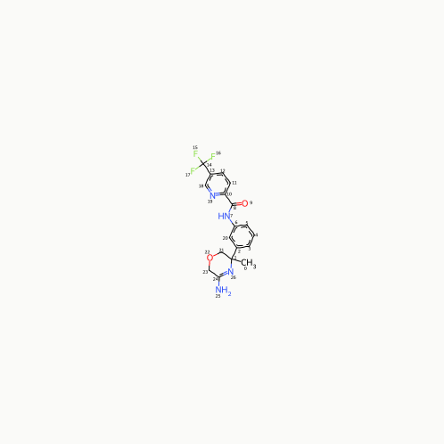 CC1(c2cccc(NC(=O)c3ccc(C(F)(F)F)cn3)c2)COCC(N)=N1